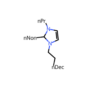 CCCCCCCCCCCCN1C=CN(CCC)C1CCCCCCCCC